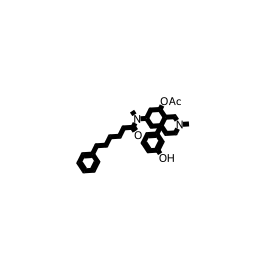 CC(=O)OC1CC(N(C)C(=O)CCCCCc2ccccc2)CC2(c3cccc(O)c3)CCN(C)CC12